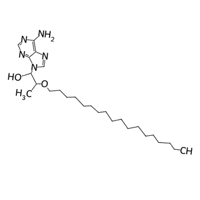 CCCCCCCCCCCCCCCCCCOC(C)C(O)n1cnc2c(N)ncnc21